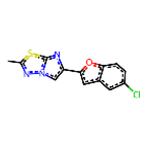 Cc1nn2cc(-c3cc4cc(Cl)ccc4o3)nc2s1